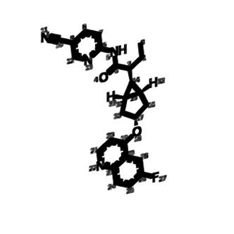 CCC(C(=O)Nc1ccc(C#N)cn1)[C@H]1[C@@H]2C[C@H](Oc3ccnc4ccc(F)cc34)C[C@@H]21